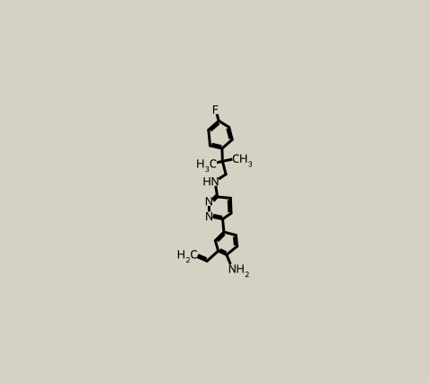 C=Cc1cc(-c2ccc(NCC(C)(C)c3ccc(F)cc3)nn2)ccc1N